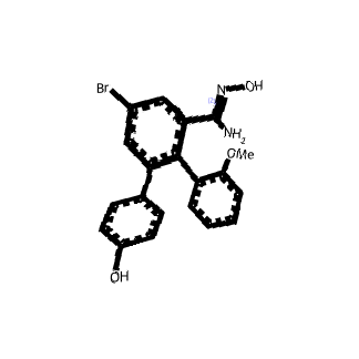 COc1ccccc1-c1c(/C(N)=N/O)cc(Br)cc1-c1ccc(O)cc1